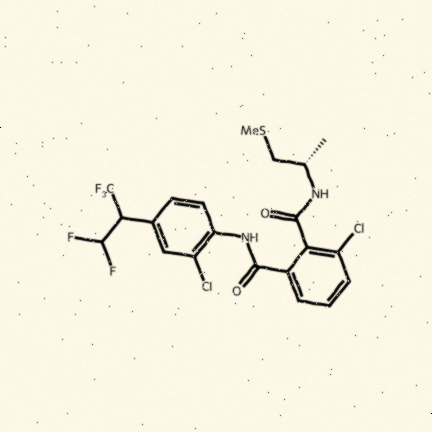 CSC[C@H](C)NC(=O)c1c(Cl)cccc1C(=O)Nc1ccc(C(C(F)F)C(F)(F)F)cc1Cl